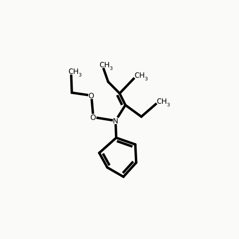 CCOON(/C(CC)=C(/C)CC)c1ccccc1